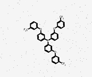 FC(F)(F)c1cccc(Oc2cccc(P(c3cccc(Oc4cccc(C(F)(F)F)c4)c3)c3cccc(Oc4cccc(C(F)(F)F)c4)c3)c2)c1